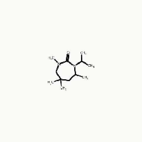 CC(C)N1C(=O)N(C)CC(C)(C)CC1C